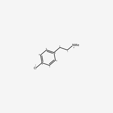 [CH2-][NH2+]CCc1ccc(Cl)cc1